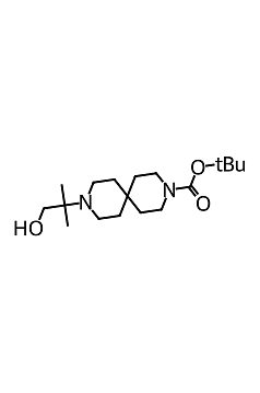 CC(C)(C)OC(=O)N1CCC2(CC1)CCN(C(C)(C)CO)CC2